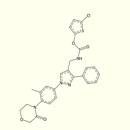 Cc1cc(-n2cc(CNC(=O)Oc3ccc(Cl)s3)c(-c3ccccc3)n2)ccc1N1CCOCC1=O